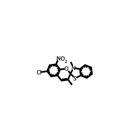 CC1=Cc2cc(Cl)cc([N+](=O)[O-])c2OC12Sc1ccccc1N2C